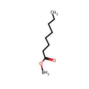 BOC(=O)CCCCCCC